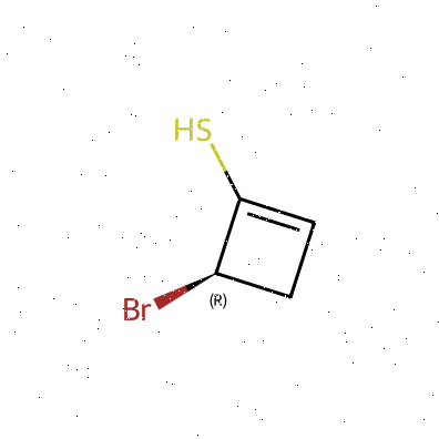 SC1=CC[C@H]1Br